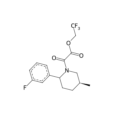 C[C@H]1CCC(c2cccc(F)c2)N(C(=O)C(=O)OCC(F)(F)F)C1